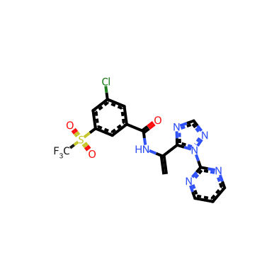 C=C(NC(=O)c1cc(Cl)cc(S(=O)(=O)C(F)(F)F)c1)c1ncnn1-c1ncccn1